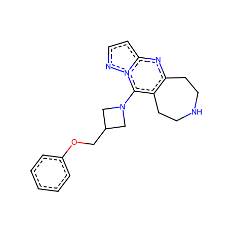 c1ccc(OCC2CN(c3c4c(nc5ccnn35)CCNCC4)C2)cc1